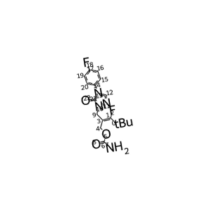 CC(C)(C)C(F)=C(COC(N)=O)Cn1ncn(-c2ccc(F)cc2)c1=O